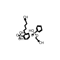 C#CCCCCc1ccccc1P(=O)(O)O.C#CCOP(=O)(O)c1ccccc1